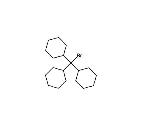 BrC(C1CCCCC1)(C1CCCCC1)C1CCCCC1